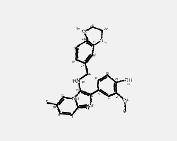 COc1cc(-c2nc3ccc(C)cn3c2NCc2ccc3c(c2)OCCO3)ccc1O